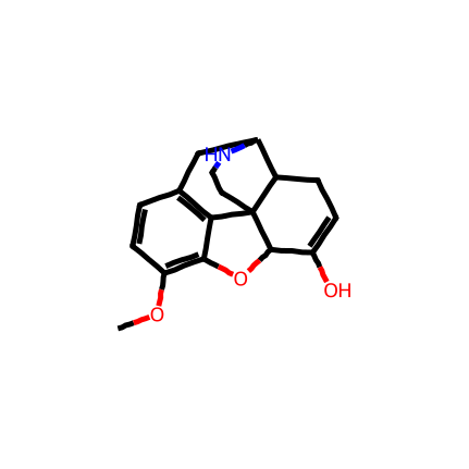 COc1ccc2c3c1OC1C(O)=CCC4C(C2)NCCC314